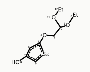 CCOC(COc1cc(O)cs1)OCC